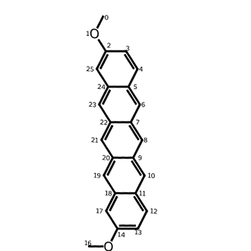 COc1ccc2cc3cc4cc5ccc(OC)cc5cc4cc3cc2c1